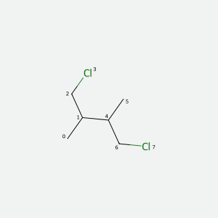 CC(CCl)C(C)CCl